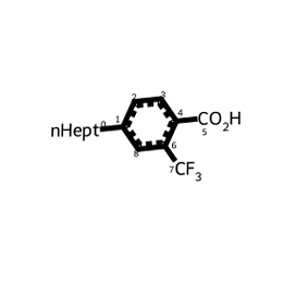 CCCCCCCc1ccc(C(=O)O)c(C(F)(F)F)c1